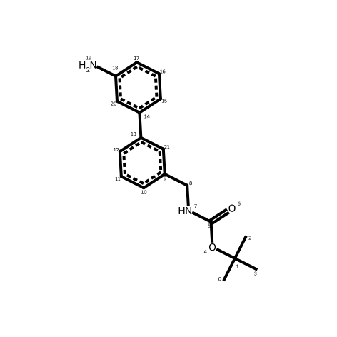 CC(C)(C)OC(=O)NCc1cccc(-c2cccc(N)c2)c1